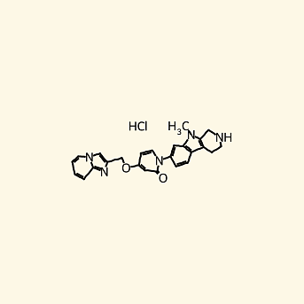 Cl.Cn1c2c(c3ccc(-n4ccc(OCc5cn6ccccc6n5)cc4=O)cc31)CCNC2